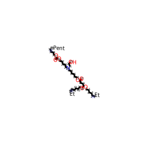 CC/C=C\CCCCOC(CCC(=O)OCCCCCCN(CCO)CCCCCOC(=O)OCC/C=C\CCCCC)OCCCC/C=C\CC